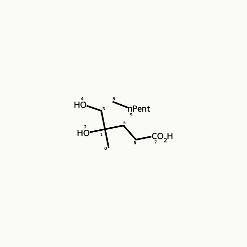 CC(O)(CO)CCC(=O)O.CCCCCC